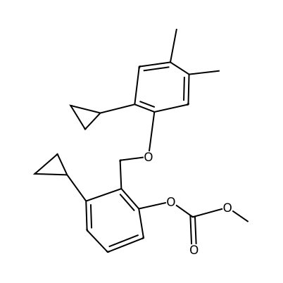 COC(=O)Oc1cccc(C2CC2)c1COc1cc(C)c(C)cc1C1CC1